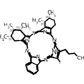 CCCCc1c(I)c2nc3nc(nc4[nH]c(nc5nc(nc1[nH]2)C1=C5[C@H](C)[C@H](C)CC1)c1c4C[C@H](C)[C@H](C)[C@@H]1C)-c1ccccc1-3